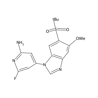 COc1cc2ncn(-c3cc(N)nc(F)c3)c2cc1S(=O)(=O)C(C)(C)C